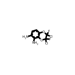 Nc1ccc2c(c1N)OC(F)(Cl)C(F)(Cl)O2